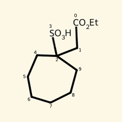 CCOC(=O)CC1(S(=O)(=O)O)CCCCCC1